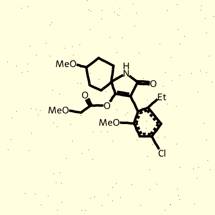 CCc1cc(Cl)cc(OC)c1C1=C(OC(=O)COC)C2(CCC(OC)CC2)NC1=O